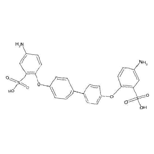 Nc1ccc(Oc2ccc(-c3ccc(Oc4ccc(N)cc4S(=O)(=O)O)cc3)cc2)c(S(=O)(=O)O)c1